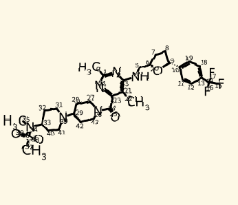 Cc1nc(NCC2CC[C@H](c3ccc(C(F)(F)F)cc3)O2)c(C)c(C(=O)N2CCC(N3CCC(N(C)S(C)(=O)=O)CC3)CC2)n1